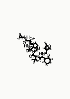 CCC12CC[C@H]3CN(C(=O)[C@@H](NC(=O)[C@@H](NC(=O)c4cc(C)on4)C4CCCCC4)C(C)(C)C)[C@H](C(=O)N[C@@H]1C(O)C(=O)NC1CC1)[C@H]32